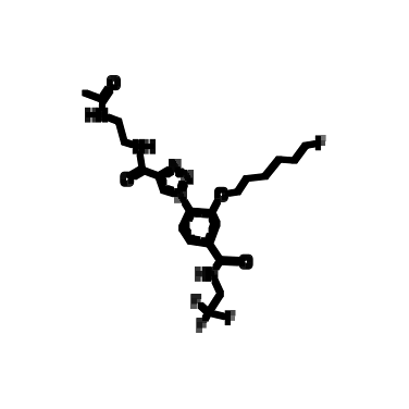 CC(=O)NCCNC(=O)c1cn(-c2ccc(C(=O)NCC(F)(F)F)cc2OCCCCCCF)nn1